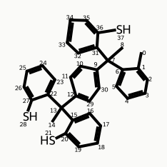 Cc1ccccc1C(C)(c1ccc(C(C)(c2ccccc2S)c2ccccc2S)cc1)c1ccccc1S